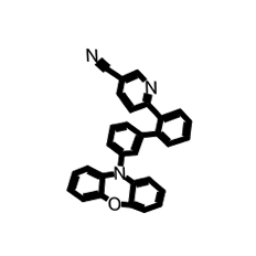 N#Cc1ccc(-c2ccccc2-c2cccc(N3c4ccccc4Oc4ccccc43)c2)nc1